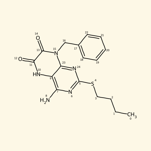 CCCCSc1nc(N)c2[nH]c(=O)c(=O)n(Cc3ccccc3)c2n1